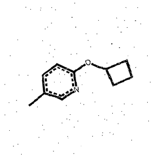 Cc1ccc(OC2CCC2)nc1